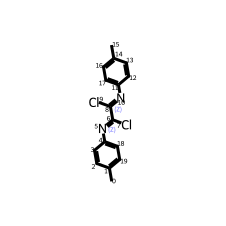 Cc1ccc(/N=C(Cl)/C(Cl)=N/c2ccc(C)cc2)cc1